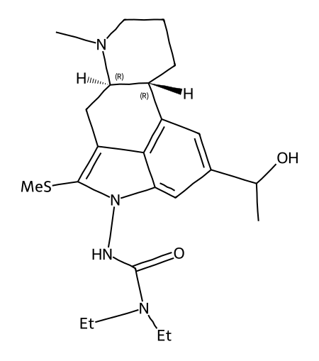 CCN(CC)C(=O)Nn1c(SC)c2c3c(cc(C(C)O)cc31)[C@H]1CCCN(C)[C@@H]1C2